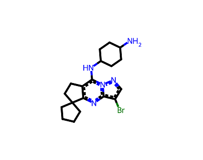 NC1CCC(Nc2c3c(nc4c(Br)cnn24)C2(CCCC2)CC3)CC1